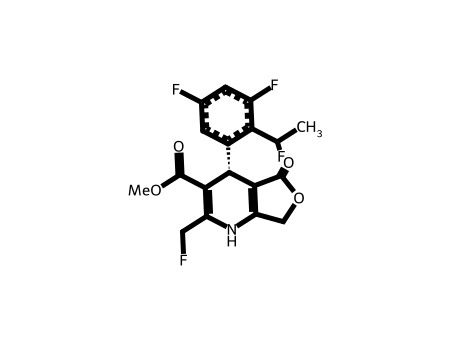 COC(=O)C1=C(CF)NC2=C(C(=O)OC2)[C@H]1c1cc(F)cc(F)c1C(C)F